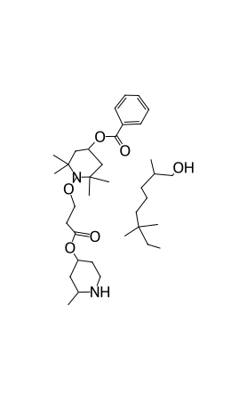 CC1CC(OC(=O)CCON2C(C)(C)CC(OC(=O)c3ccccc3)CC2(C)C)CCN1.CCC(C)(C)CCCC(C)CO